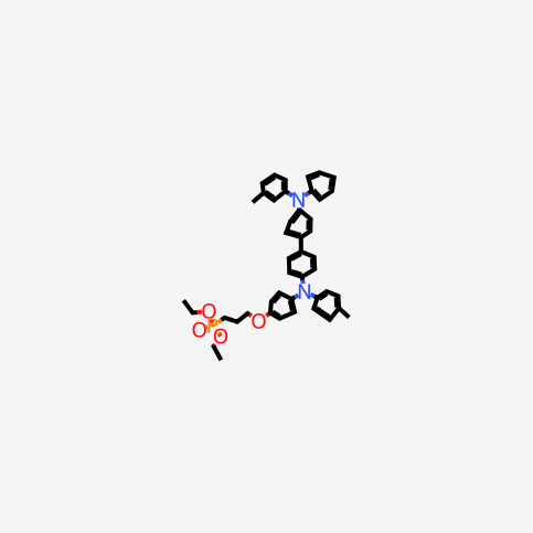 CCOP(=O)(CCCOc1ccc(N(c2ccc(C)cc2)c2ccc(-c3ccc(N(c4ccccc4)c4cccc(C)c4)cc3)cc2)cc1)OCC